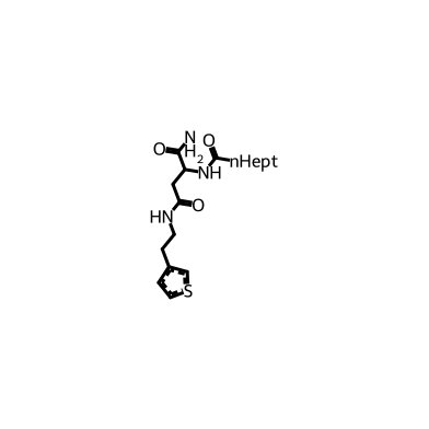 CCCCCCCC(=O)NC(CC(=O)NCCc1ccsc1)C(N)=O